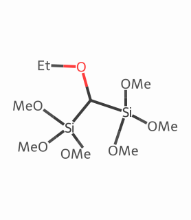 CCOC([Si](OC)(OC)OC)[Si](OC)(OC)OC